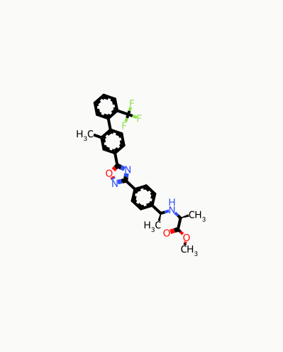 COC(=O)[C@H](C)N[C@@H](C)c1ccc(-c2noc(-c3ccc(-c4ccccc4C(F)(F)F)c(C)c3)n2)cc1